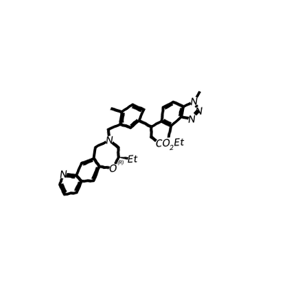 CCOC(=O)CC(c1ccc(C)c(CN2Cc3cc4ncccc4cc3O[C@H](CC)C2)c1)c1ccc2c(nnn2C)c1C